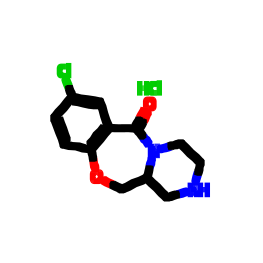 Cl.O=C1c2cc(Cl)ccc2OCC2CNCCN12